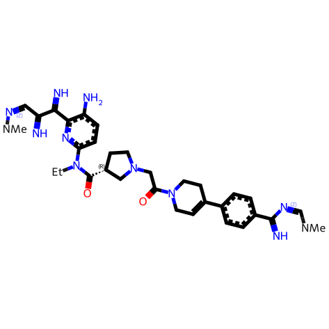 CCN(C(=O)[C@@H]1CCN(CC(=O)N2CC=C(c3ccc(C(=N)/N=C\NC)cc3)CC2)C1)c1ccc(N)c(C(=N)C(=N)/C=N\NC)n1